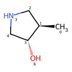 C[C@@H]1CNC[C@H]1O